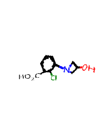 O=C(O)c1cccc(N2CC(O)C2)c1Cl